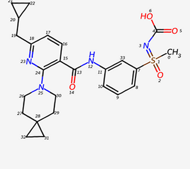 CS(=O)(=NC(=O)O)c1cccc(NC(=O)c2ccc(CC3CC3)nc2N2CCC3(CC2)CC3)c1